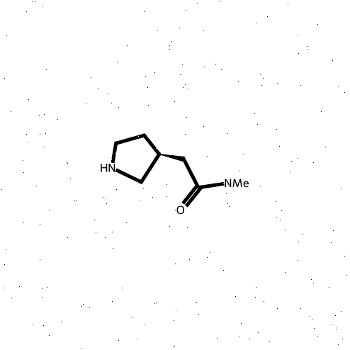 CNC(=O)C[C@@H]1CCNC1